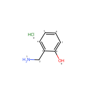 Cl.NCc1ccccc1O